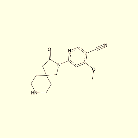 COc1cc(N2CC3(CCNCC3)CC2=O)ncc1C#N